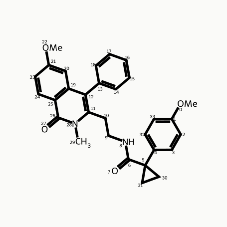 COc1ccc(C2(C(=O)NCCc3c(-c4ccccc4)c4cc(OC)ccc4c(=O)n3C)CC2)cc1